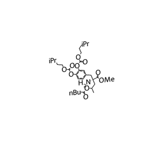 CCCCC(=O)OC(C)C[C@@](N)(Cc1ccc(OC(=O)OCCC(C)C)c(OC(=O)OCCC(C)C)c1)C(=O)OC